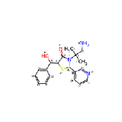 CC(C)(CN)N1C(=O)C(C(O)c2ccccc2)SC1c1cccnc1